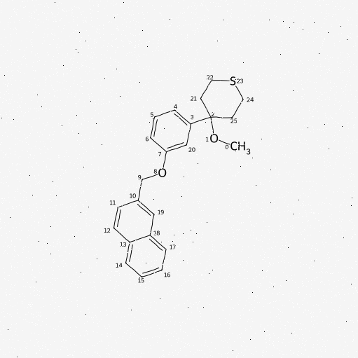 COC1(c2cccc(OCc3ccc4ccccc4c3)c2)CCSCC1